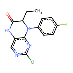 CCC1C(=O)Nc2cnc(Cl)nc2N1c1ccc(F)cc1